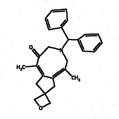 CC1=C2CC3(COC3)CC2=C(C)C(=O)CN(C(c2ccccc2)c2ccccc2)C1